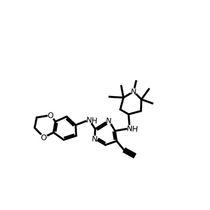 C#Cc1cnc(Nc2ccc3c(c2)OCCO3)nc1NC1CC(C)(C)N(C)C(C)(C)C1